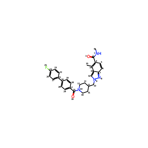 CNC(=O)c1ccc2nn(CC3CCN(C(=O)c4ccc(-c5ccc(F)cc5)cc4)CC3)cc2c1C